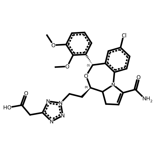 COc1cccc([C@H]2O[C@H](CCn3nnc(CC(=O)O)n3)C3CC=C(C(N)=O)N3c3ccc(Cl)cc32)c1OC